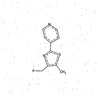 Cc1sc(-c2ccncc2)nc1CF